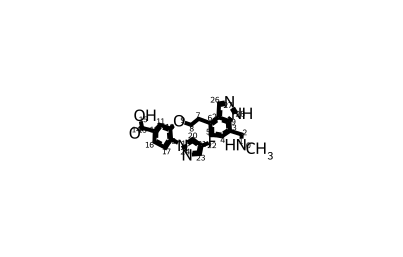 CNCc1ccc(CCOc2cc(C(=O)O)ccc2-n2cc(F)cn2)c2cn[nH]c12